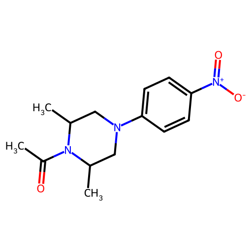 CC(=O)N1C(C)CN(c2ccc([N+](=O)[O-])cc2)CC1C